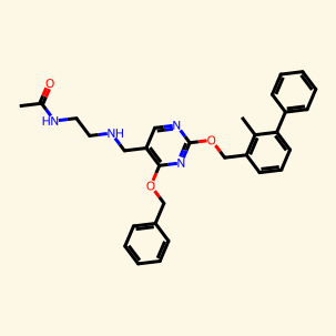 CC(=O)NCCNCc1cnc(OCc2cccc(-c3ccccc3)c2C)nc1OCc1ccccc1